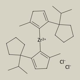 CC1=[C]([Zr+2][C]2=C(C)CC=C2C2(C(C)C)CCCC2)C(C2(C(C)C)CCCC2)=CC1.[Cl-].[Cl-]